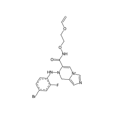 C=COCCONC(=O)C1=C[N+]2C=NC=C2CN1Nc1ccc(Br)cc1F